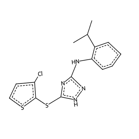 CC(C)c1ccccc1Nc1n[nH]c(Sc2sccc2Cl)n1